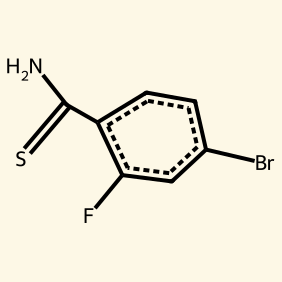 NC(=S)c1ccc(Br)cc1F